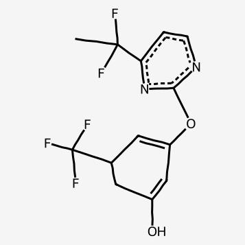 CC(F)(F)c1ccnc(OC2=CC(C(F)(F)F)CC(O)=C2)n1